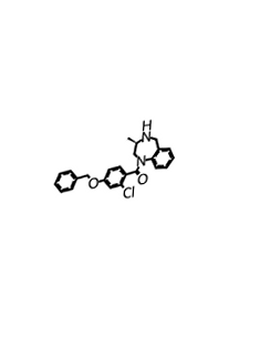 C[C@@H]1CN(C(=O)c2ccc(OCc3ccccc3)cc2Cl)c2ccccc2CN1